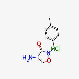 Cc1ccc(CN2OC[C@@H](N)C2=O)cc1.Cl